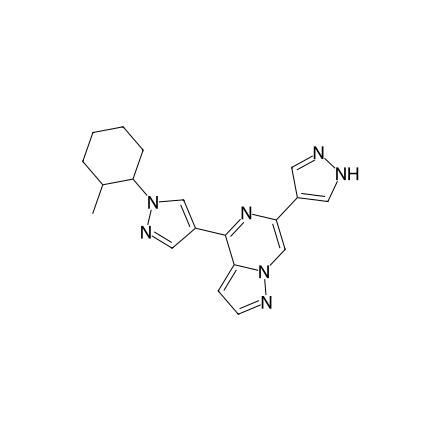 CC1CCCCC1n1cc(-c2nc(-c3cn[nH]c3)cn3nccc23)cn1